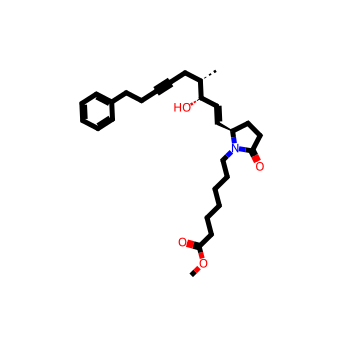 COC(=O)CCCCCCN1C(=O)CC[C@@H]1C=C[C@H](O)[C@@H](C)CC#CCCc1ccccc1